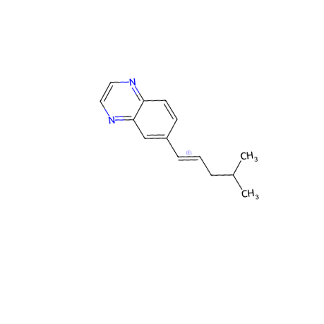 CC(C)C/C=C/c1ccc2nccnc2c1